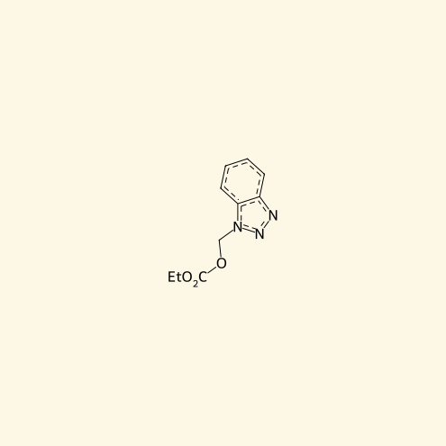 CCOC(=O)OCn1nnc2ccccc21